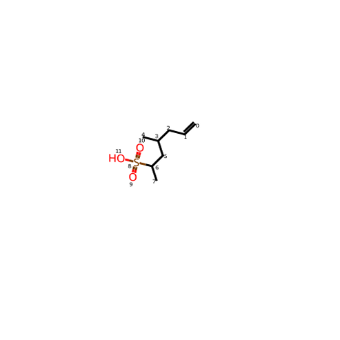 C=CCC(C)CC(C)S(=O)(=O)O